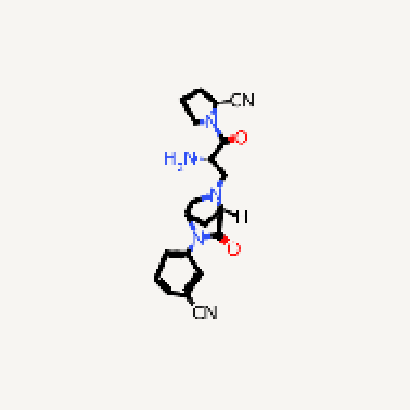 N#Cc1cccc(N2C(=O)[C@@H]3CC2CN3C[C@H](N)C(=O)N2CCC[C@H]2C#N)c1